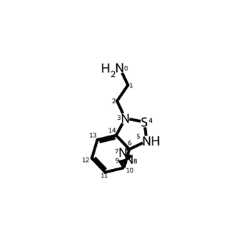 NCCN1SNC23N=NC=C2C=CC=C13